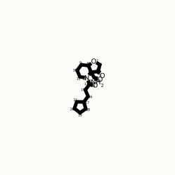 NC(=O)C12C(=O)COC1CCCN2C(=O)[CH]CC1CCCC1